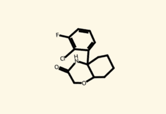 O=C1COC2CCCCC2(c2cccc(F)c2Cl)N1